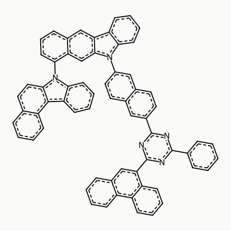 c1ccc(-c2nc(-c3ccc4cc(-n5c6ccccc6c6cc7cccc(-n8c9ccccc9c9c%10ccccc%10ccc98)c7cc65)ccc4c3)nc(-c3cc4ccccc4c4ccccc34)n2)cc1